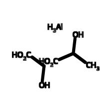 CC(O)C(=O)O.O=C(O)CO.[AlH3]